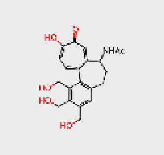 CC(=O)N[C@H]1CCc2cc(CO)c(CO)c(CO)c2-c2ccc(O)c(=O)cc21